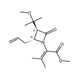 C=CC[C@@H]1[C@@H](C(C)(C)OC)C(=O)N1C(C(=O)OC)=C(C)C